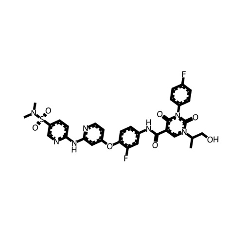 CC(CO)n1cc(C(=O)Nc2ccc(Oc3ccnc(Nc4ccc(S(=O)(=O)N(C)C)cn4)c3)c(F)c2)c(=O)n(-c2ccc(F)cc2)c1=O